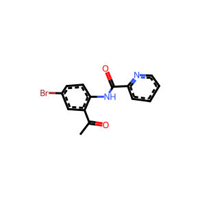 CC(=O)c1cc(Br)ccc1NC(=O)c1ccccn1